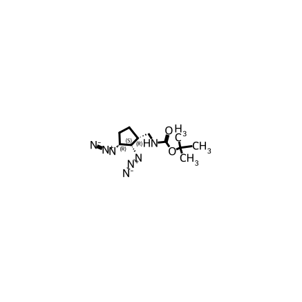 CC(C)(C)OC(=O)NC[C@H]1CC[C@@H](N=[N+]=[N-])[C@H]1N=[N+]=[N-]